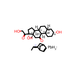 C/C=C1/CC2C=CC1C2.C[C@]12CC[C@@H](O)C[C@H]1CC[C@@H]1[C@@H]2C(=O)C[C@@]2(C)[C@H]1CC[C@]2(O)C(=O)CO.[PbH2]